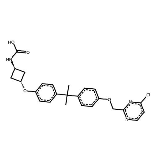 CC(C)(c1ccc(OCc2nccc(Cl)n2)cc1)c1ccc(O[C@H]2C[C@H](NC(=O)O)C2)cc1